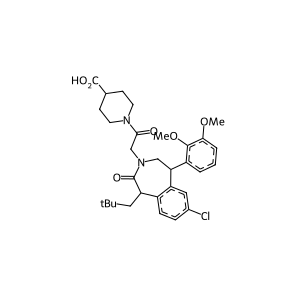 COc1cccc(C2CN(CC(=O)N3CCC(C(=O)O)CC3)C(=O)C(CC(C)(C)C)c3ccc(Cl)cc32)c1OC